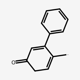 [CH2]C1=CCC(=O)C=C1c1ccccc1